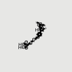 CCCC(NC(=O)CP(=O)(OCC)OCC)c1ccc(OCCOCCOCCN(C(=O)O)C(=O)O)cc1